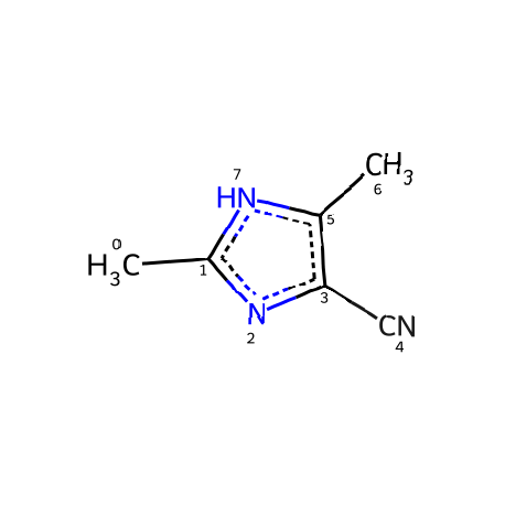 Cc1nc(C#N)c(C)[nH]1